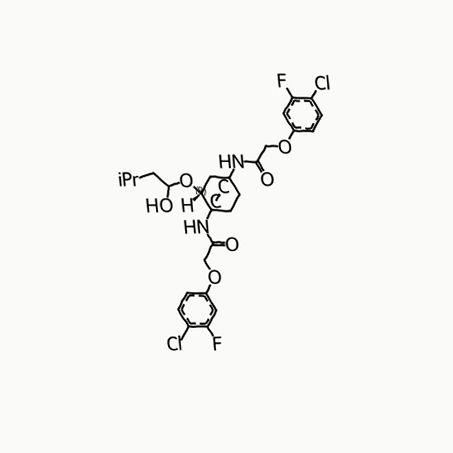 CC(C)CC(O)O[C@@H]1CC2(NC(=O)COc3ccc(Cl)c(F)c3)CCC1(NC(=O)COc1ccc(Cl)c(F)c1)CC2